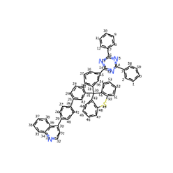 c1ccc(-c2nc(-c3ccccc3)nc(-c3cccc(C4(c5cccc(-c6ccc(-c7ccnc8ccccc78)cc6)c5)c5ccccc5Sc5ccccc54)c3)n2)cc1